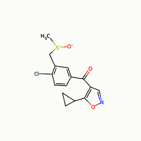 C[S+]([O-])Cc1cc(C(=O)c2cnoc2C2CC2)ccc1Cl